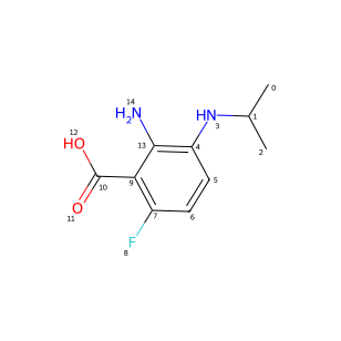 CC(C)Nc1ccc(F)c(C(=O)O)c1N